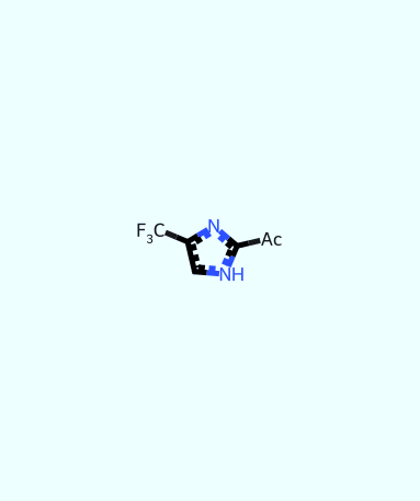 CC(=O)c1nc(C(F)(F)F)c[nH]1